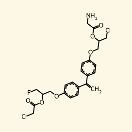 C=C(c1ccc(OCC(CF)OC(=O)CCl)cc1)c1ccc(OCC(CCl)OC(=O)CN)cc1